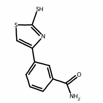 NC(=O)c1cccc(-c2csc(S)n2)c1